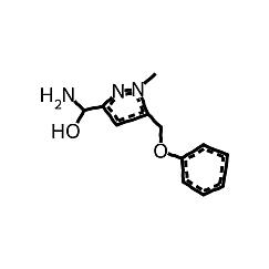 Cn1nc(C(N)O)cc1COc1ccccc1